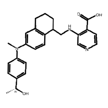 C[C@@H](O)c1ccc(N(C)c2ccc3c(c2)CCCC3CNc2cnccc2C(=O)O)cc1